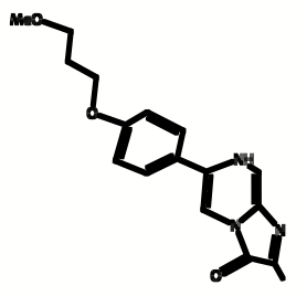 COCCCOc1ccc(-c2cn3c(=O)c(C)nc-3c[nH]2)cc1